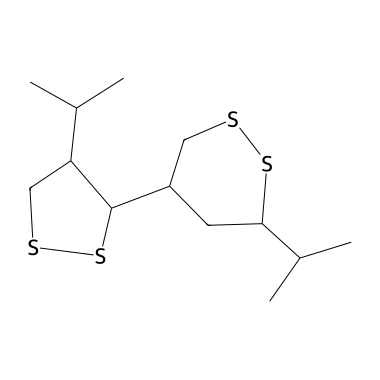 CC(C)C1CC(C2SSCC2C(C)C)CSS1